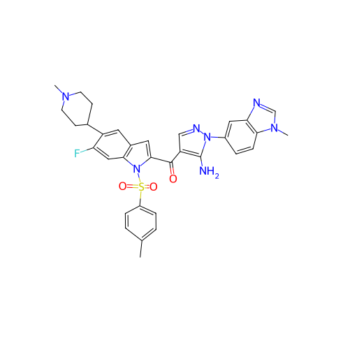 Cc1ccc(S(=O)(=O)n2c(C(=O)c3cnn(-c4ccc5c(c4)ncn5C)c3N)cc3cc(C4CCN(C)CC4)c(F)cc32)cc1